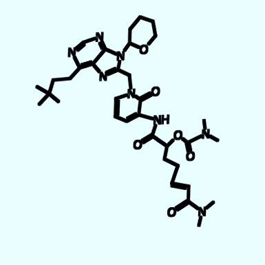 CN(C)C(=O)C=CCCC(OC(=O)N(C)C)C(=O)Nc1cccn(Cc2nc3c(CCC(C)(C)C)ncnc3n2C2CCCCO2)c1=O